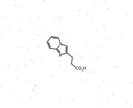 O=C(O)CCc1cn2ccccc2n1